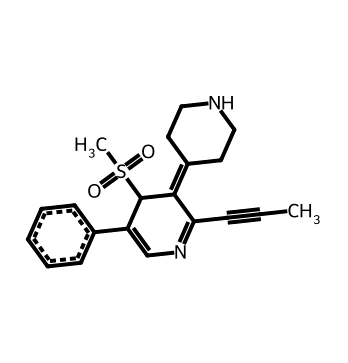 CC#CC1=NC=C(c2ccccc2)C(S(C)(=O)=O)C1=C1CCNCC1